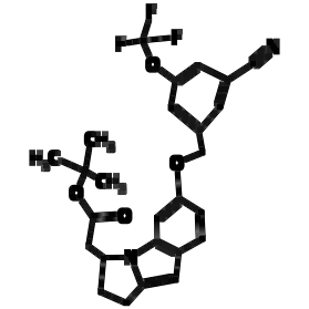 CC(C)(C)OC(=O)CC1CCc2cc3ccc(OCc4cc(C#N)cc(OC(F)(F)F)c4)cc3n21